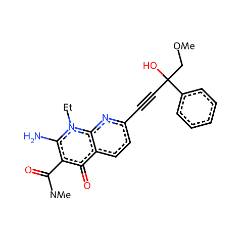 CCn1c(N)c(C(=O)NC)c(=O)c2ccc(C#CC(O)(COC)c3ccccc3)nc21